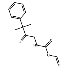 CC(C)(C(=O)CNC(=O)OC=O)c1ccccc1